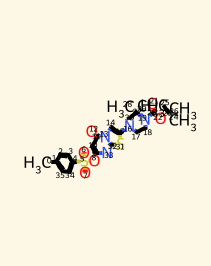 Cc1ccc(S(=O)(=O)Oc2cc(=O)n3cc(N4CCN(C(=O)OC(C)(C)C)C(C)(C)C4)sc3n2)cc1